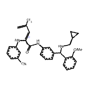 C=C(/C=C(\Nc1cccc(C#N)c1)C(=O)Nc1cccc(C(NCC2CC2)c2ccccc2OC)c1)C(F)(F)F